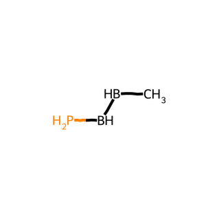 CBBP